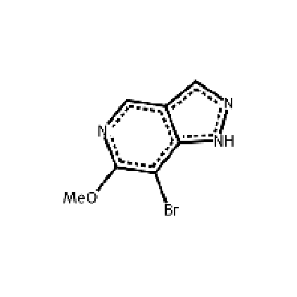 COc1ncc2cn[nH]c2c1Br